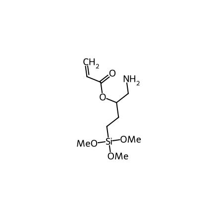 C=CC(=O)OC(CN)CC[Si](OC)(OC)OC